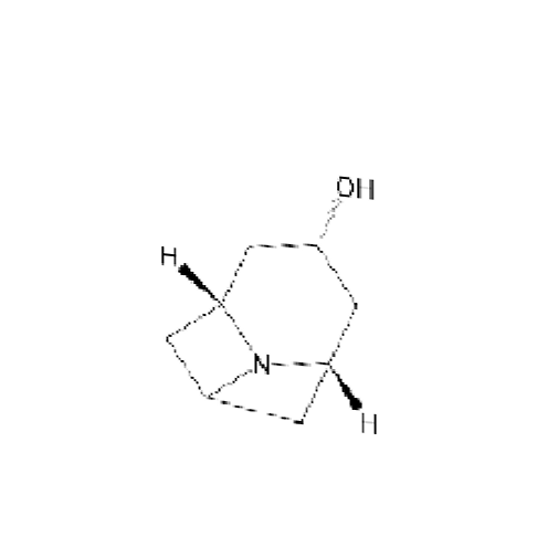 O[C@H]1C[C@H]2CC3C[C@@H](C1)N32